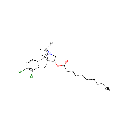 CCCCCCCCCC(=O)OC1CN2C3CC[C@@H]2C[C@@H](c2ccc(Cl)c(Cl)c2)[C@@H]13